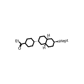 CCCCCCC[C@H]1CC[C@@H]2C[C@H](C3CCC(C(=O)CC)CC3)CC[C@H]2C1